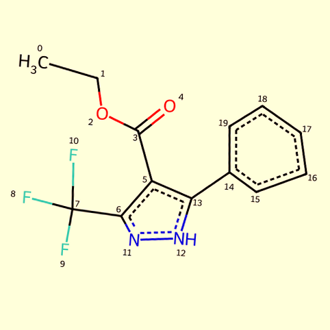 CCOC(=O)c1c(C(F)(F)F)n[nH]c1-c1ccccc1